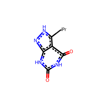 CC(C)c1[nH]nc2[nH]c(=O)[nH]c(=O)c12